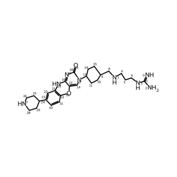 N=C(N)NCCCNCC1CCC(n2cc3c(nc2=O)Nc2cc(C4CCNCC4)ccc2O3)CC1